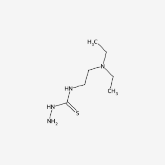 CCN(CC)CCNC(=S)NN